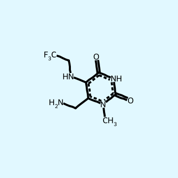 Cn1c(CN)c(NCC(F)(F)F)c(=O)[nH]c1=O